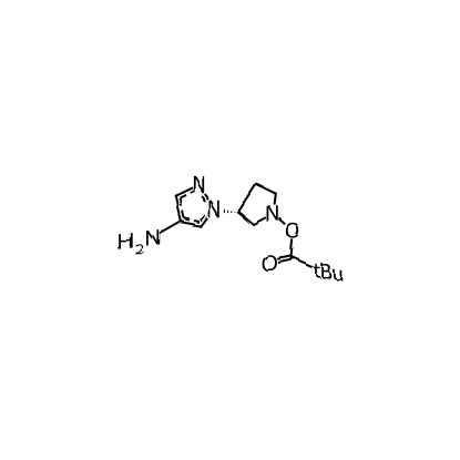 CC(C)(C)C(=O)ON1CC[C@@H](n2cc(N)cn2)C1